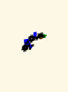 CN(C)c1nc(N[C@H]2CC[C@@H](NCc3ccc(Br)s3)CC2)nc2ccccc12